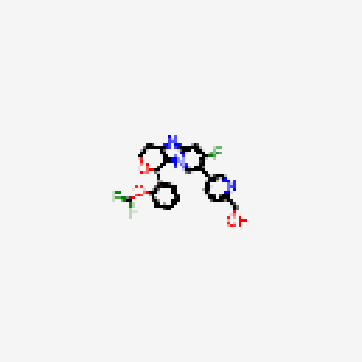 OCc1ccc(-c2cn3c4c(nc3cc2F)CCO[C@@H]4c2ccccc2OC(F)F)cn1